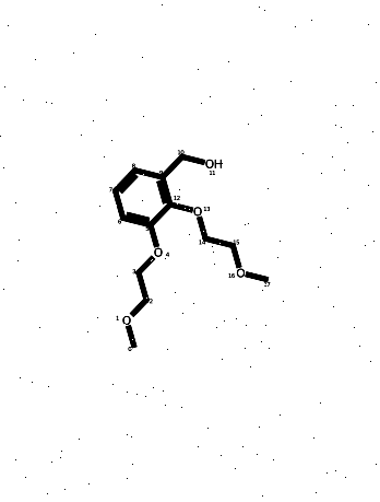 COCCOc1cccc(CO)c1OCCOC